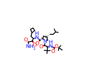 CC(C)CC[C@H]1C[C@@H](C(=O)NC(CC2CCC2)C(=O)C(N)=O)N(C(=O)[C@@H](NC(=O)OC(C)(C)C)C(C)(C)C)C1